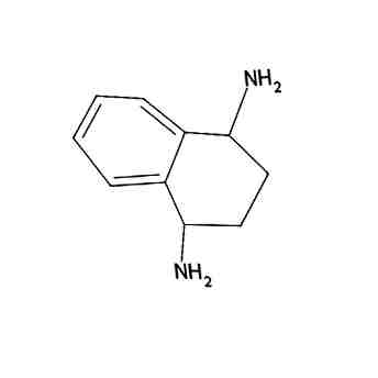 NC1CCC(N)c2ccccc21